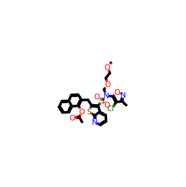 COCCOCN(c1onc(C)c1Cl)S(=O)(=O)c1c(Cc2ccc3ccccc3c2OC(C)=O)sc2ncccc12